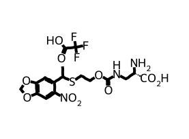 CC(SCCOC(=O)NC[C@H](N)C(=O)O)c1cc2c(cc1[N+](=O)[O-])OCO2.O=C(O)C(F)(F)F